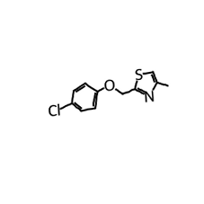 Cc1csc(COc2ccc(Cl)cc2)n1